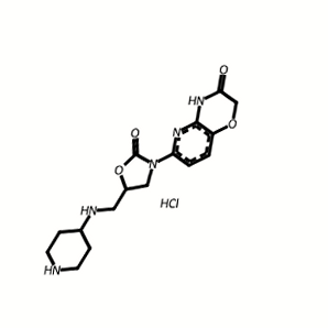 Cl.O=C1COc2ccc(N3CC(CNC4CCNCC4)OC3=O)nc2N1